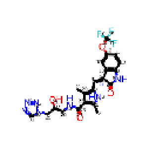 Cc1[nH]c(/C=C2\C(=O)Nc3ccc(OC(F)(F)F)cc32)c(C)c1C(=O)NCC(O)Cn1cnnn1